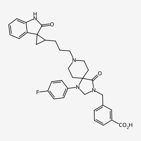 O=C(O)c1cccc(CN2CN(c3ccc(F)cc3)C3(CCN(CCCC4CC45C(=O)Nc4ccccc45)CC3)C2=O)c1